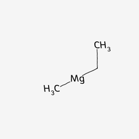 C[CH2][Mg][CH3]